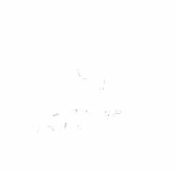 O=C(O)CC/C=C\CCC1(CCNS(=O)(=O)c2ccc(Cl)cc2)CCCC1.[NaH]